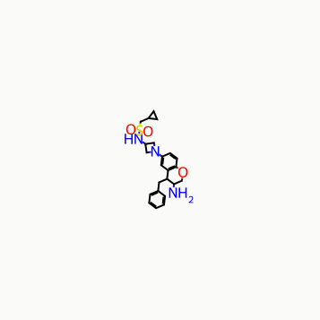 NC1COc2ccc(N3CC(NS(=O)(=O)CC4CC4)C3)cc2C1Cc1ccccc1